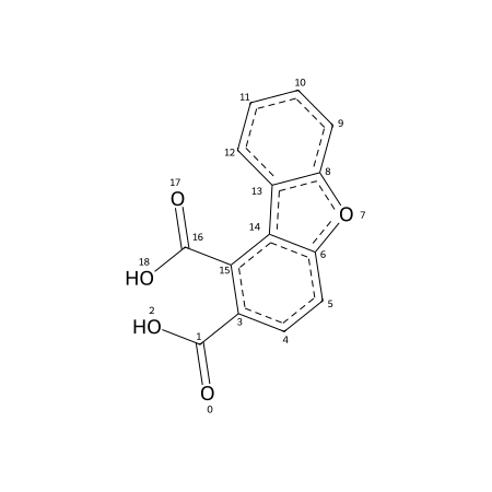 O=C(O)c1ccc2oc3ccccc3c2c1C(=O)O